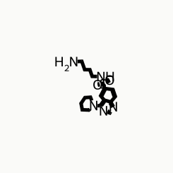 NCCCCNS(=O)(=O)c1ccc2ncnc(N3CCCCC3)c2c1